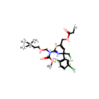 CC(=O)CC(=O)OCC1=CC(CF)(c2cc(Br)ccc2F)N=C(N(COCC[Si](C)(C)C)C(=O)OC(C)(C)C)S1